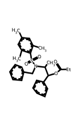 CCC(=O)OC(c1ccccc1)C(C)N(Cc1ccccc1)S(=O)(=O)c1c(C)cc(C)cc1C